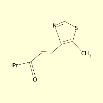 Cc1scnc1C=CC(=O)C(C)C